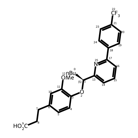 CCCC[C@H](Oc1ccc(CCC(=O)O)cc1OC)c1cccc(-c2ccc(C(F)(F)F)cc2)n1